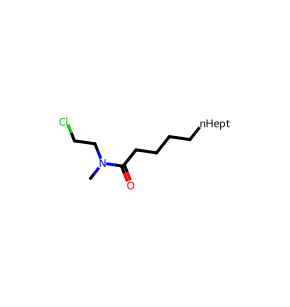 CCCCCCCCCCCC(=O)N(C)CCCl